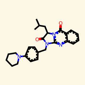 CC(C)CC1C(=O)N(Cc2ccc(N3CCCCC3)cc2)c2nc3ccccc3c(=O)n21